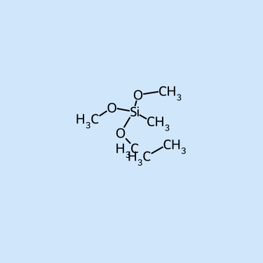 CC.CO[Si](C)(OC)OC